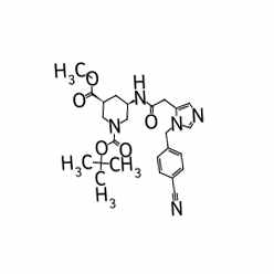 COC(=O)[C@H]1C[C@@H](NC(=O)Cc2cncn2Cc2ccc(C#N)cc2)CN(C(=O)OC(C)(C)C)C1